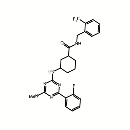 CNc1nc(NC2CCCC(C(=O)NCc3ccccc3C(F)(F)F)C2)nc(-c2ccccc2F)n1